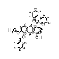 COc1ccc2c(c1OCc1ccccc1)C[C@@H](C(=O)O)N(C(=O)[C@@H](Oc1ccccc1)c1ccccc1)C2